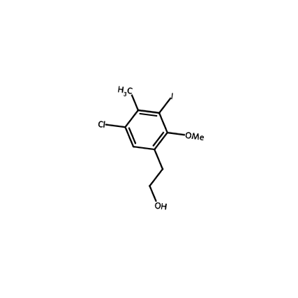 COc1c(CCO)cc(Cl)c(C)c1I